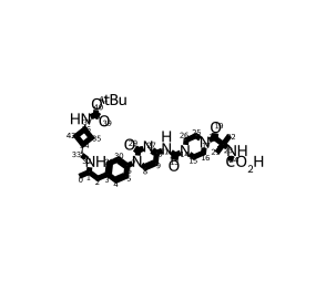 CC(Cc1ccc(-n2ccc(NC(=O)N3CCN(C(=O)C(C)(C)NC(=O)O)CC3)nc2=O)cc1)NC[C@H]1C[C@@H](NC(=O)OC(C)(C)C)C1